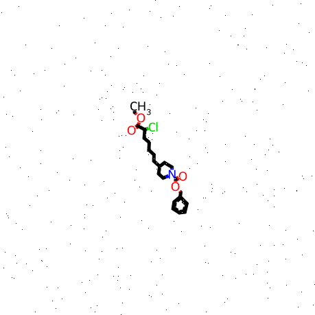 CCOC(=O)C(Cl)CCCCCC1CCN(C(=O)OCc2ccccc2)CC1